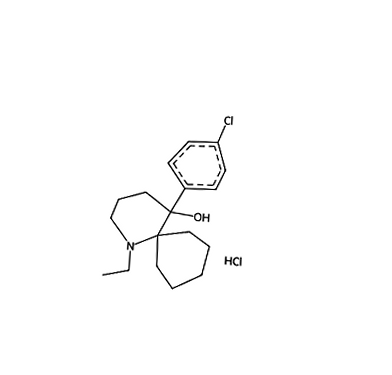 CCN1CCCC(O)(c2ccc(Cl)cc2)C12CCCCC2.Cl